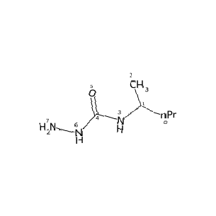 CCCC(C)NC(=O)NN